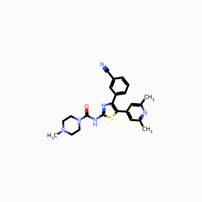 Cc1cc(-c2sc(NC(=O)N3CCN(C)CC3)nc2-c2cccc(C#N)c2)cc(C)n1